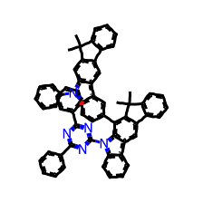 CC1(C)c2ccccc2-c2cc3c4cc(-c5c6c(cc7c8ccccc8n(-c8nc(-c9ccccc9)nc(-c9ccccc9)n8)c57)-c5ccccc5C6(C)C)ccc4n(-c4ccccc4)c3cc21